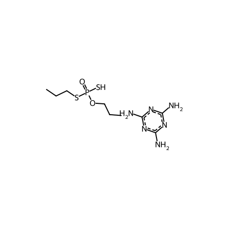 CCCOP(=O)(S)SCCC.Nc1nc(N)nc(N)n1